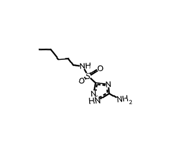 CCCCCNS(=O)(=O)c1n[nH]c(N)n1